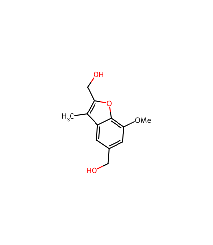 COc1cc(CO)cc2c(C)c(CO)oc12